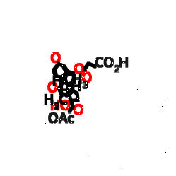 CC(=O)OCC(=O)[C@@]1(O)CC[C@H]2[C@@H]3C[C@@H](OC(=O)CCC(=O)O)C4=CC(=O)C=C[C@]4(C)[C@H]3C(=O)C[C@@]21C